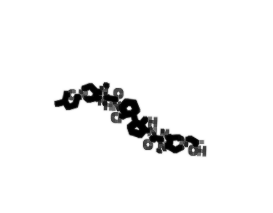 Cc1c(NC(=O)c2nc3c(n2C)CCN(C[C@H](C)O)C3)cccc1-c1cccc(NC(=O)c2nc3c(n2C)CCN(C2CCC(C)CC2)C3)c1Cl